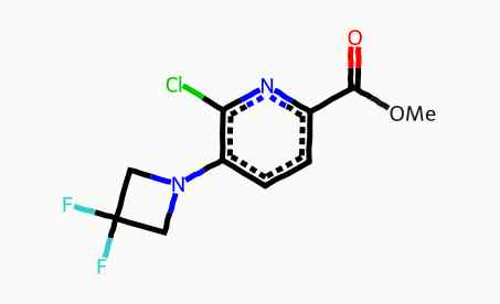 COC(=O)c1ccc(N2CC(F)(F)C2)c(Cl)n1